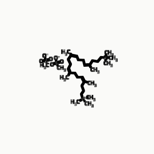 CC(=CCCC=C(C)CCC[N+](C)(C)C)CCC=C(C)CCC=C(C)CCC[N+](C)(C)C.CS(=O)(=O)[O-].CS(=O)(=O)[O-]